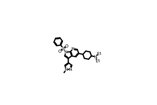 CCN(CC)C1CCC(c2cnc3c(c2)c(-c2cnn(C)c2)cn3S(=O)(=O)c2ccccc2)CC1